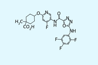 CC1(C(=O)O)CCC(Oc2cc(F)c(NC(=O)c3nnc(Nc4cc(F)c(F)cc4F)o3)cn2)CC1